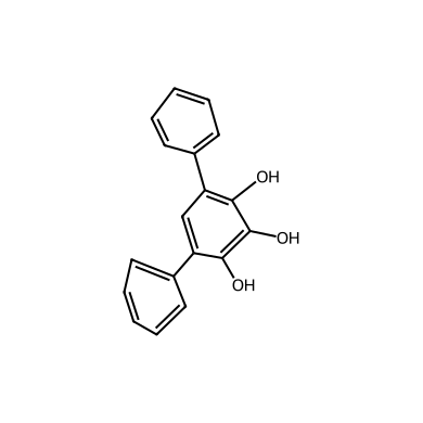 Oc1c(-c2ccccc2)cc(-c2ccccc2)c(O)c1O